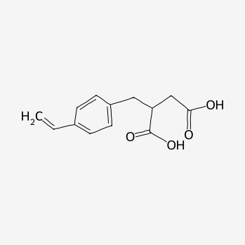 C=Cc1ccc(CC(CC(=O)O)C(=O)O)cc1